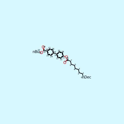 CCCCCCCCCCCCCCCCCC(=O)Oc1ccc(-c2ccc(C(=O)OCCCC)cc2)cc1